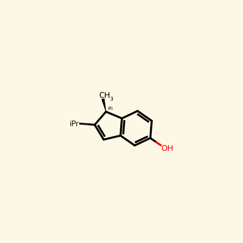 CC(C)C1=Cc2cc(O)ccc2[C@@H]1C